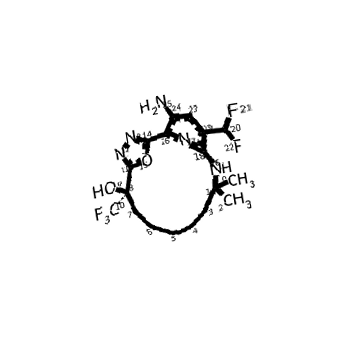 CC1(C)CCCCC[C@](O)(C(F)(F)F)c2nnc(o2)-c2nc(c(C(F)F)cc2N)N1